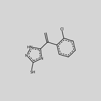 C=C(c1nc(S)n[nH]1)c1ccccc1Cl